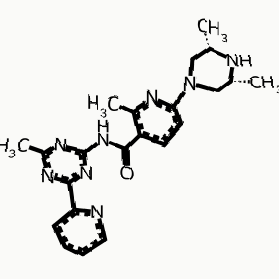 Cc1nc(NC(=O)c2ccc(N3C[C@@H](C)N[C@@H](C)C3)nc2C)nc(-c2ccccn2)n1